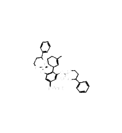 CCCCCc1cc(OP2(=O)OCCC(c3ccccc3)O2)c(C2C=C(C)CCC2)c(OP2(=O)OCCC(c3ccccc3)O2)c1